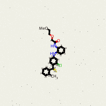 COCCOCC(=O)Nc1ccccc1Nc1ccc(C(=S)c2ccccc2C)c(Cl)c1